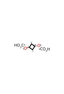 O=C(O)O[C@H]1C[C@H](OC(=O)O)C1